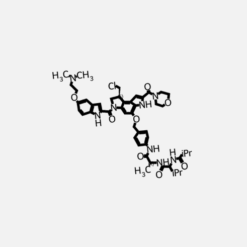 CC(C)C(=O)NC(C(=O)N[C@H](C)C(=O)Nc1ccc(COc2cc3c(c4cc(C(=O)N5CCOCC5)[nH]c24)[C@H](CCl)CN3C(=O)c2cc3cc(OCCN(C)C)ccc3[nH]2)cc1)C(C)C